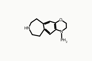 PN1CCOc2cc3c(cc21)CCNCC3